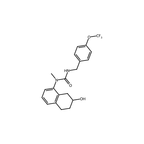 CN(C(=O)NCc1ccc(OC(F)(F)F)cc1)c1cccc2c1CC(O)CC2